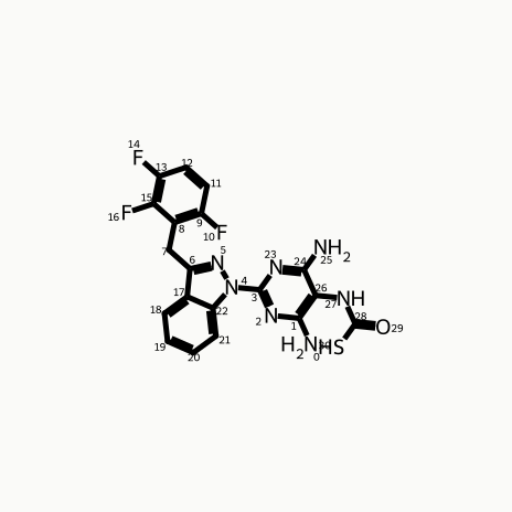 Nc1nc(-n2nc(Cc3c(F)ccc(F)c3F)c3ccccc32)nc(N)c1NC(=O)S